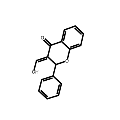 O=C1/C(=C/O)C(c2ccccc2)Oc2ccccc21